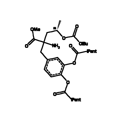 CCCC(C)C(=O)Oc1ccc(CC(N)(C[C@H](C)OC(=O)OCC(C)C)C(=O)OC)cc1OC(=O)C(C)CCC